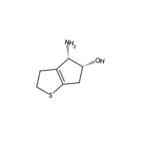 N[C@H]1C2=C(C[C@H]1O)SCC2